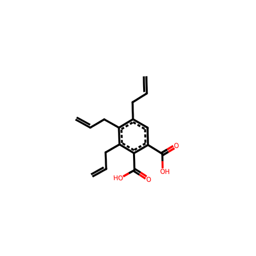 C=CCc1cc(C(=O)O)c(C(=O)O)c(CC=C)c1CC=C